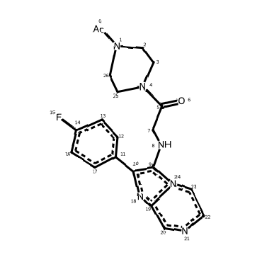 CC(=O)N1CCN(C(=O)CNc2c(-c3ccc(F)cc3)nc3cnccn23)CC1